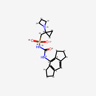 O=C(Nc1c2c(cc3c1CCC3)CCC2)NS(=O)(=O)CC1(N2CCC2)CC1